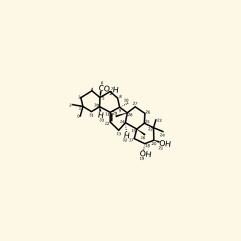 CC1(C)CC[C@]2(C(=O)O)CC[C@]3(C)C(=CC[C@@H]4[C@@]5(C)C[C@@H](O)[C@H](O)C(C)(C)C5CC[C@]43C)[C@@H]2C1